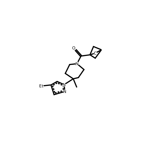 CCc1cnn(C2(C)CCN(C(=O)C34CC(C3)C4)CC2)c1